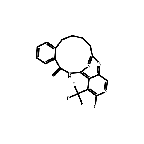 C=C1Nc2nc(nc3cnc(Cl)c(C(F)(F)F)c23)CCCCc2ccccc21